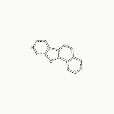 c1ccc2c(c1)ccc1c3ccncc3oc21